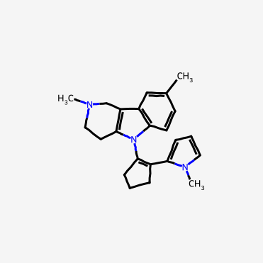 Cc1ccc2c(c1)c1c(n2C2=C(c3cccn3C)CCC2)CCN(C)C1